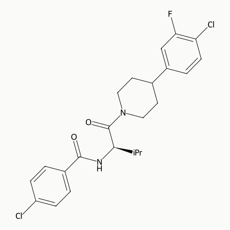 CC(C)[C@@H](NC(=O)c1ccc(Cl)cc1)C(=O)N1CCC(c2ccc(Cl)c(F)c2)CC1